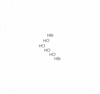 Br.Br.Cl.Cl.Cl.Cl